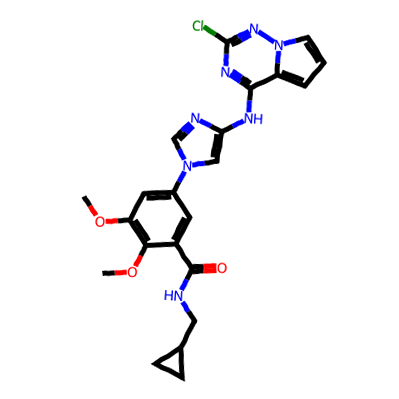 COc1cc(-n2cnc(Nc3nc(Cl)nn4cccc34)c2)cc(C(=O)NCC2CC2)c1OC